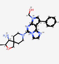 C[C@@H]1OCC2(CCN(c3nc4c(c(-c5ccccc5)cn4CO)c4nccn34)CC2)[C@@H]1N